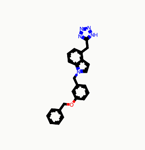 c1ccc(COc2cccc(Cn3ccc4c(Cc5nnn[nH]5)cccc43)c2)cc1